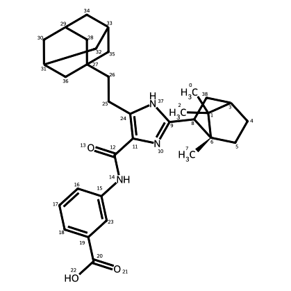 CC1(C)C2CC[C@]1(C)C(c1nc(C(=O)Nc3cccc(C(=O)O)c3)c(CCC34CC5CC(CC(C5)C3)C4)[nH]1)C2